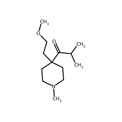 COCCC1(C(=O)C(C)C)CCN(C)CC1